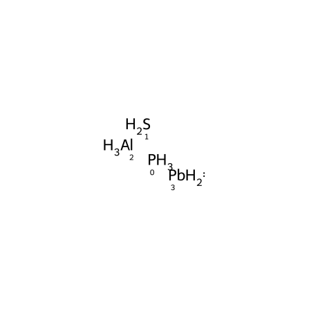 P.S.[AlH3].[PbH2]